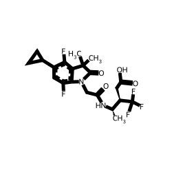 C[C@H](NC(=O)CN1C(=O)C(C)(C)c2c(F)c(C3CC3)cc(F)c21)[C@@H](CC(=O)O)C(F)(F)F